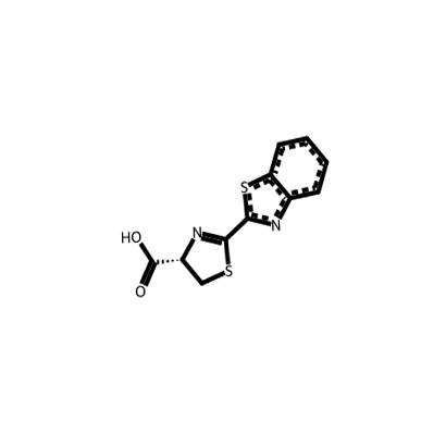 O=C(O)[C@H]1CSC(c2nc3ccccc3s2)=N1